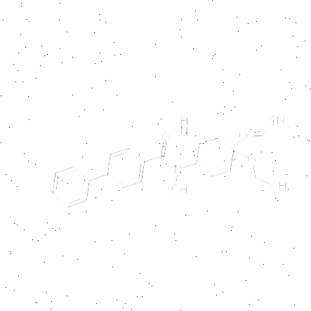 CCOC1(OCC)CCC(N(C)C(=O)c2ccc(-c3ccccc3)cc2)C(N)C1